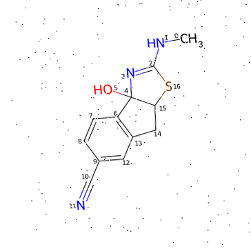 CNC1=NC2(O)c3ccc(C#N)cc3CC2S1